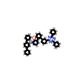 C1=CC(c2cccc3oc4c(-n5c6ccccc6c6ccc(-c7ccccc7)cc65)cccc4c23)=CC(c2nc(-c3ccccc3)nc(-c3ccccc3)n2)C1